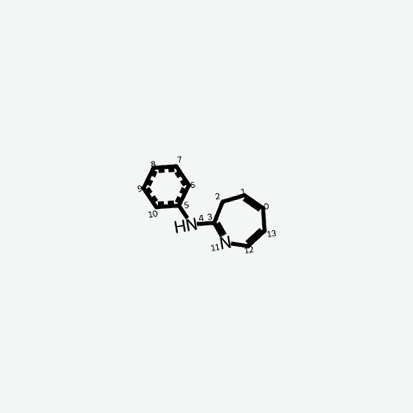 C1=CCC(Nc2ccccc2)=NC=C1